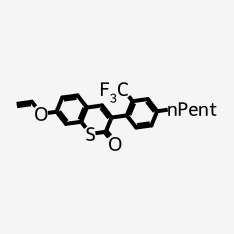 C=COc1ccc2cc(-c3ccc(CCCCC)cc3C(F)(F)F)c(=O)sc2c1